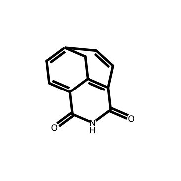 O=C1NC(=O)C2=C3CC(=CC=C13)C=C2